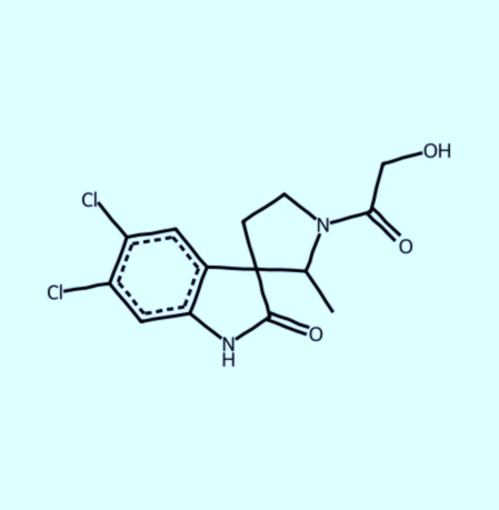 CC1N(C(=O)CO)CCC12C(=O)Nc1cc(Cl)c(Cl)cc12